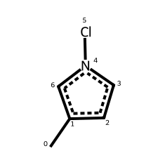 Cc1ccn(Cl)c1